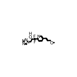 COCC=Cc1ccc(C(F)(F)C(O)Cn2cnnn2)nc1